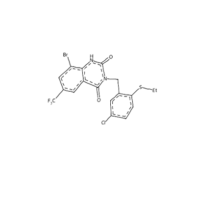 CCSc1ccc(Cl)cc1Cn1c(=O)[nH]c2c(Br)cc(C(F)(F)F)cc2c1=O